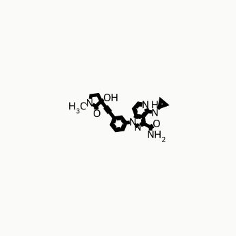 CN1CCC(O)(C#Cc2cccc(-n3nc(C(N)=O)c4c(NC5CC5)nccc43)c2)C1=O